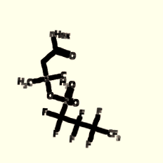 CCCCCCC(=O)CS(C)(C)OS(=O)(=O)C(F)(F)C(F)(F)C(F)(F)C(F)(F)F